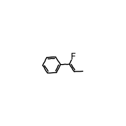 CC=C(F)c1ccccc1